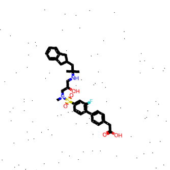 CN(CC(O)CNC(C)(C)CC1Cc2ccccc2C1)S(=O)(=O)c1ccc(-c2ccc(CC(=O)O)cc2)c(F)c1